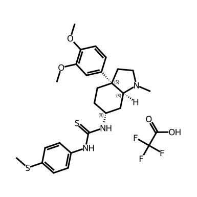 COc1ccc([C@@]23CC[C@@H](NC(=S)Nc4ccc(SC)cc4)C[C@@H]2N(C)CC3)cc1OC.O=C(O)C(F)(F)F